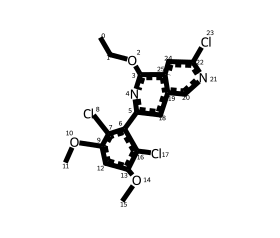 CCOc1nc(-c2c(Cl)c(OC)cc(OC)c2Cl)cc2cnc(Cl)cc12